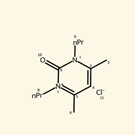 CCCn1c(C)cc(C)[n+](CCC)c1=O.[Cl-]